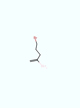 BC(=C)CCCBr